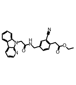 CCOC(=O)Cc1ccc(CNC(=O)Cn2c3ccccc3c3cccnc32)cc1C#N